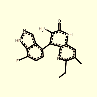 CCc1nc2c(-c3ccc(F)c4[nH]ncc34)c(N)c(=O)[nH]c2cc1C